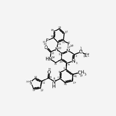 CCOc1nc(-c2cc(NC(=O)c3ccsc3)ccc2C)c2c(n1)N(c1c(F)cccc1F)C(=O)NC2